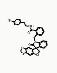 O=C(NCCc1ccc(F)cc1)c1ccccc1CN1C(=O)C2(COc3cc4c(cc32)OCO4)c2ccccc21